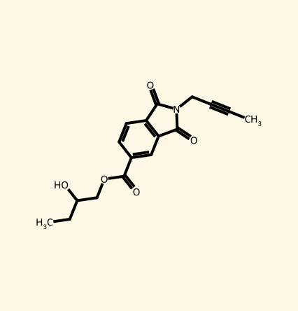 CC#CCN1C(=O)c2ccc(C(=O)OCC(O)CC)cc2C1=O